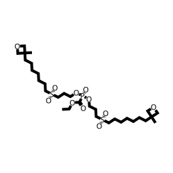 CCOC(=O)P(=O)(OCCCS(=O)(=O)CCCCCCCC1(C)COC1)OCCCS(=O)(=O)CCCCCCCC1(C)COC1